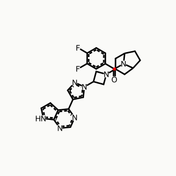 O=C(c1ccc(F)c(F)c1)N1C2CCC1CC(N1CC(n3cc(-c4ncnc5[nH]ccc45)cn3)C1)C2